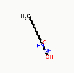 CCCCCCCCCCCCCCCC(=O)NCCNCCO